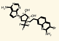 Nc1nc2cc(CC[C@@]3(C(F)(F)F)C[C@@H](n4ccc5c(N)ncnc54)[C@H](O)[C@@H]3O)ccc2cc1Br